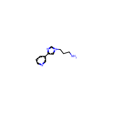 NCCCn1cnc(-c2cccnc2)c1